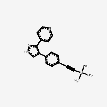 C[Si](C)(C)C#Cc1ccc(-c2c[nH]nc2-c2ccncc2)cc1